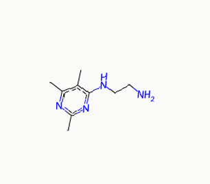 Cc1nc(C)c(C)c(NCCN)n1